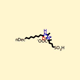 CCCCCCCCCCCCCCCCCC(=O)NC(C)[N+](C)(C)C(C)(CCCS(=O)(=O)O)C(=O)[O-]